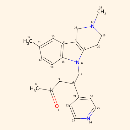 CC(=O)CC(Cn1c2c(c3cc(C)ccc31)CN(C)CC2)c1ccncc1